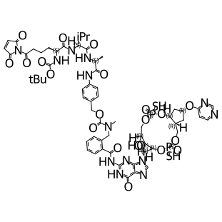 CC(C)[C@H](NC(=O)[C@H](CCCC(=O)N1C(=O)C=CC1=O)NC(=O)OC(C)(C)C)C(=O)N[C@@H](C)C(=O)Nc1ccc(COC(=O)N(C)Cc2ccccc2C(=O)Nc2nc3c(ncn3[C@@H]3O[C@@H]4CO[P@@](=O)(S)O[C@H]5C[C@H](Oc6ccncn6)C[C@@H]5CO[P@@](=O)(S)O[C@@H]3[C@@H]4O)c(=O)[nH]2)cc1